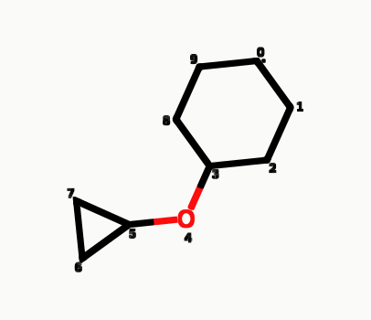 [CH]1CCC(OC2CC2)CC1